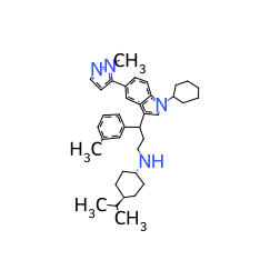 Cc1cccc(C(CCN[C@H]2CC[C@H](C(C)C)CC2)c2cn(C3CCCCC3)c3ccc(-c4ccnn4C)cc23)c1